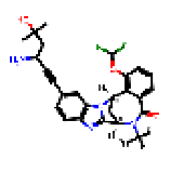 [2H]C([2H])([2H])N1C(=O)c2cccc(OC(F)F)c2[C@H]2C[C@@H]1c1nc3ccc(C#CC(N)CC(C)(C)O)cc3n12